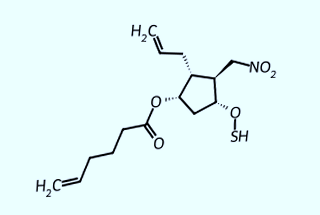 C=CCCCC(=O)O[C@H]1C[C@@H](OS)[C@H](C[N+](=O)[O-])[C@H]1CC=C